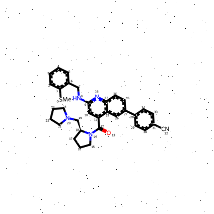 CSc1ccccc1CNc1cc(C(=O)N2CCC[C@H]2CN2CCCC2)c2cc(-c3ccc(C#N)cc3)ccc2n1